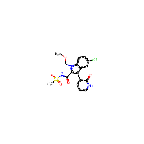 COCn1c(C(=O)NS(C)(=O)=O)c(-c2ccc[nH]c2=O)c2cc(Cl)ccc21